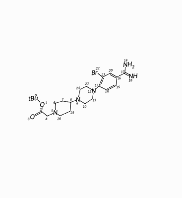 CC(C)(C)OC(=O)CN1CCC(N2CCN(c3ccc(C(=N)N)cc3Br)CC2)CC1